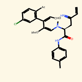 C=CC(=N)C[C@@H](C(=O)Nc1ccc(C)cc1)N(C)/C=C(OC)\C(=C/C=O)c1cc(Cl)ccc1C(C)=O